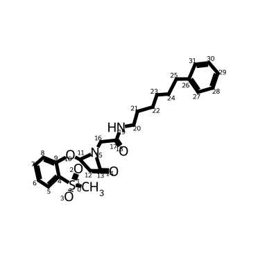 CS(=O)(=O)c1ccccc1OC1CC(=O)N1CC(=O)NCCCCCCc1ccccc1